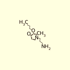 CCCCOc1c(C)n(CCCN)ccc1=O